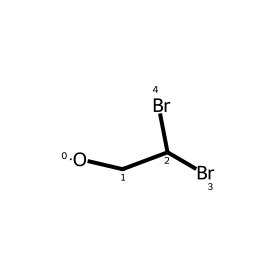 [O]CC(Br)Br